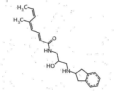 C\C=C/C(C)=C\C=C\C(=O)NCC(O)CNC1Cc2ccccc2C1